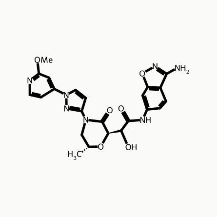 COc1cc(-n2ccc(N3C[C@@H](C)O[C@H](C(O)C(=O)Nc4ccc5c(N)noc5c4)C3=O)n2)ccn1